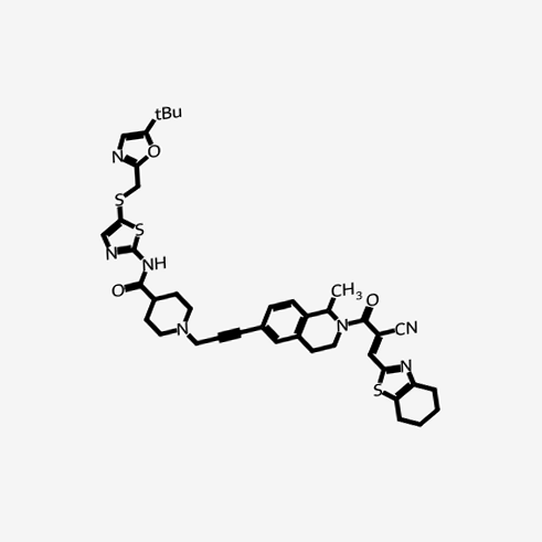 CC1c2ccc(C#CCN3CCC(C(=O)Nc4ncc(SCc5ncc(C(C)(C)C)o5)s4)CC3)cc2CCN1C(=O)C(C#N)=Cc1nc2c(s1)CCCC2